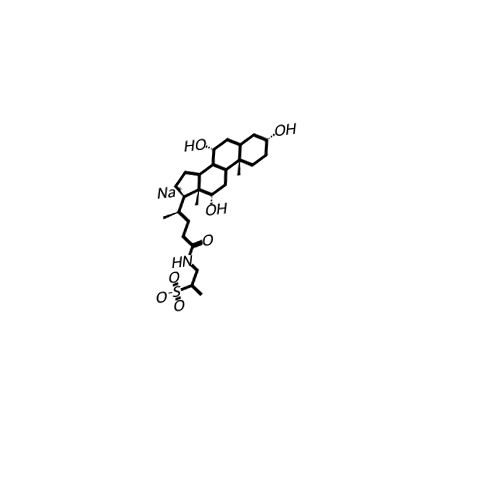 CC(CNC(=O)CC[C@@H](C)[C@H]1CCC2C3C(C[C@H](O)[C@@]21C)[C@@]1(C)CC[C@@H](O)CC1C[C@H]3O)S(=O)(=O)[O-].[Na+]